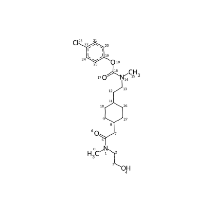 CN(CCO)C(=O)CC1CCC(CCN(C)C(=O)Oc2ccc(Cl)cc2)CC1